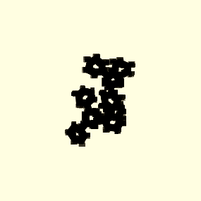 c1ccc(-c2nc(-c3ccccc3)nc(-c3cccc4sc5cc(-c6nc(-c7ccccc7)c7ccccc7n6)ccc5c34)n2)cc1